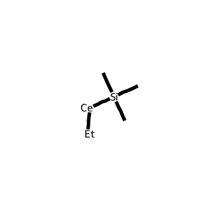 C[CH2][Ce][Si](C)(C)C